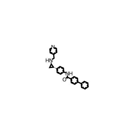 O=C(Nc1ccc([C@@H]2C[C@H]2NCc2ccncc2)cc1)c1ccc(-c2ccccc2)cc1